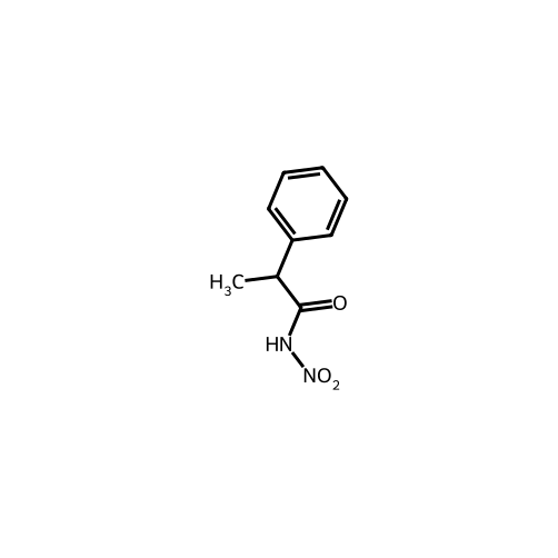 CC(C(=O)N[N+](=O)[O-])c1ccccc1